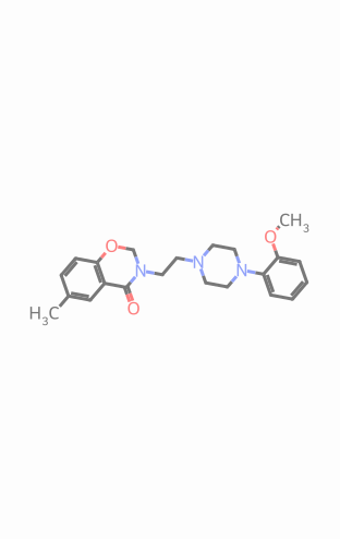 COc1ccccc1N1CCN(CCN2COc3ccc(C)cc3C2=O)CC1